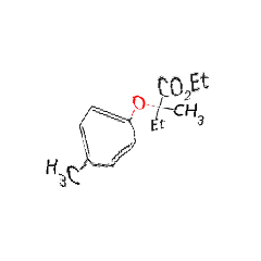 CCOC(=O)C(C)(CC)Oc1ccc(C)cc1